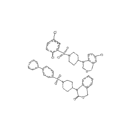 O=C1OCc2ccccc2N1C1CCN(S(=O)(=O)c2ccc(-c3ccccc3)cc2)CC1.O=S(=O)(c1cc(Cl)ccc1Cl)N1CCC(N2COCc3cc(Cl)ccc32)CC1